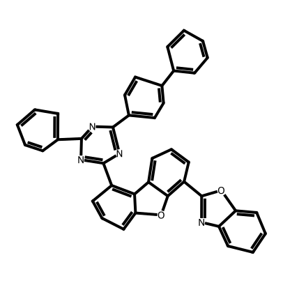 c1ccc(-c2ccc(-c3nc(-c4ccccc4)nc(-c4cccc5oc6c(-c7nc8ccccc8o7)cccc6c45)n3)cc2)cc1